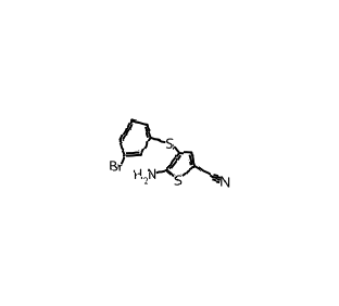 N#Cc1cc(Sc2cccc(Br)c2)c(N)s1